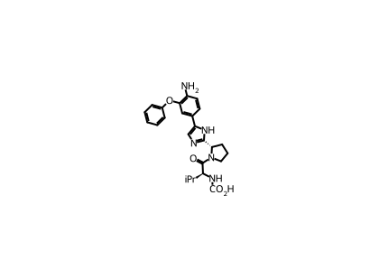 CC(C)[C@H](NC(=O)O)C(=O)N1CCC[C@H]1c1ncc(-c2ccc(N)c(Oc3ccccc3)c2)[nH]1